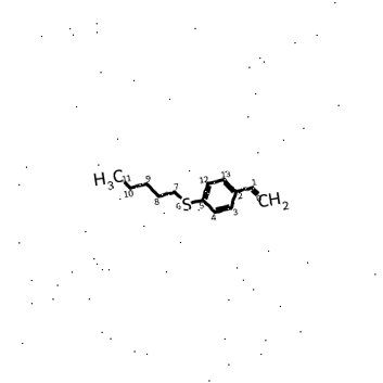 C=Cc1ccc(SCCCCC)cc1